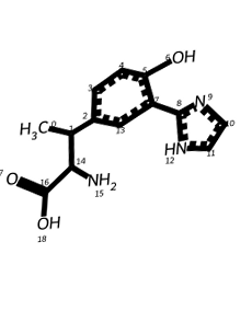 CC(c1ccc(O)c(-c2ncc[nH]2)c1)C(N)C(=O)O